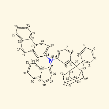 c1ccc2c(c1)-c1ccc(N(c3ccc4c(ccc5ccccc54)c3)c3cccc4ccccc34)cc1C21C2CC3CC(C2)CC1C3